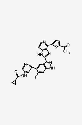 CC(=O)c1ccc(-c2nccc3[nH]c(-c4n[nH]c5cc(F)c(-c6cncc(NC(=O)C7CC7)c6)cc45)nc23)s1